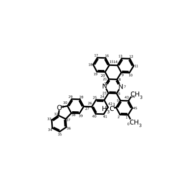 Cc1cc(C)c(-c2nc3c4ccccc4c4ccccc4c3nc2C2=CC(c3ccc4oc5ccccc5c4c3)=CCC2)c(C)c1